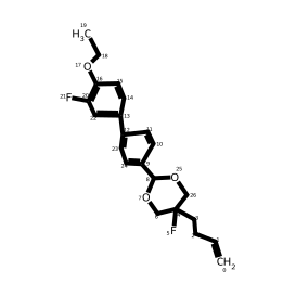 C=CCCC1(F)COC(c2ccc(-c3ccc(OCC)c(F)c3)cc2)OC1